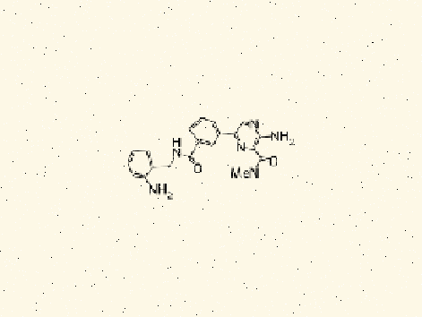 CNC(=O)c1nc(-c2cccc(C(=O)NCc3ccccc3N)c2)cnc1N